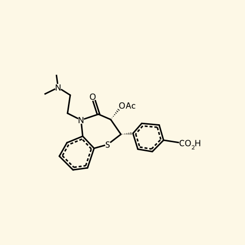 CC(=O)O[C@H]1C(=O)N(CCN(C)C)c2ccccc2S[C@H]1c1ccc(C(=O)O)cc1